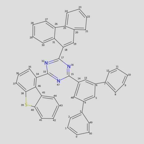 c1ccc(-c2cc(-c3ccccc3)cc(-c3nc(-c4cc5ccccc5c5ccccc45)nc(-c4cccc5sc6ccccc6c45)n3)c2)cc1